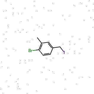 Cc1cc(CI)ccc1Br